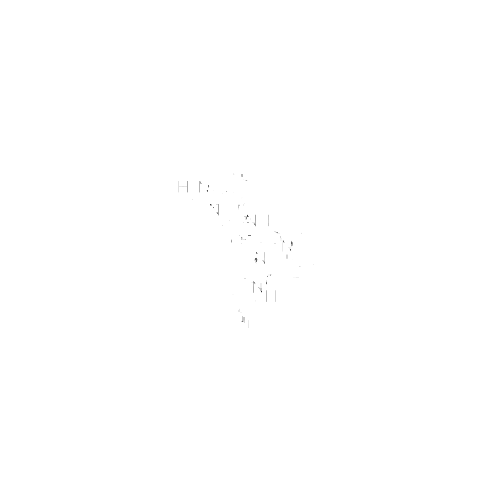 CC(c1ncccc1F)N(Cc1ccc(Br)cn1)C(=O)C(=O)Nc1cnc(N)c2c1COC2